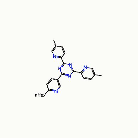 CCCCCCc1ccc(-c2nc(-c3ccc(C)cn3)nc(-c3ccc(C)cn3)n2)cn1